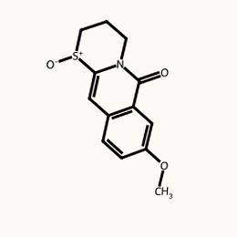 COc1ccc2cc3n(c(=O)c2c1)CCC[S+]3[O-]